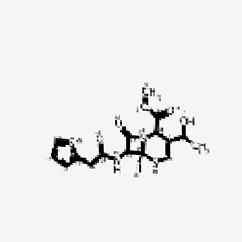 COC(=O)C1C(C(C)O)=CS[C@@H]2C(NC(=O)Cc3cccs3)C(=O)N12